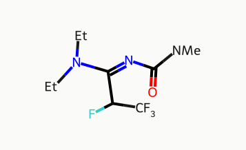 CCN(CC)C(=NC(=O)NC)C(F)C(F)(F)F